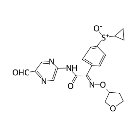 O=Cc1cnc(NC(=O)/C(=N/O[C@@H]2CCOC2)c2ccc([S+]([O-])C3CC3)cc2)cn1